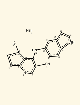 Br.N#Cc1cnc2scc(Br)c2c1Nc1ccc2[nH]ccc2c1